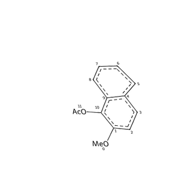 COc1ccc2ccccc2c1OC(C)=O